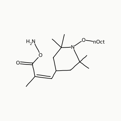 CCCCCCCCON1C(C)(C)CC(C=C(C)C(=O)ON)CC1(C)C